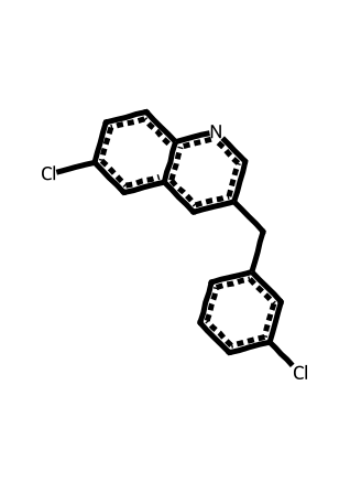 Clc1cccc(Cc2cnc3ccc(Cl)cc3c2)c1